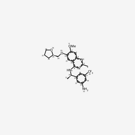 COc1cc2nc(C)nc(N[C@H](C)c3cc(N)cc(C(F)(F)F)c3)c2cc1OC[C@H]1CCCO1